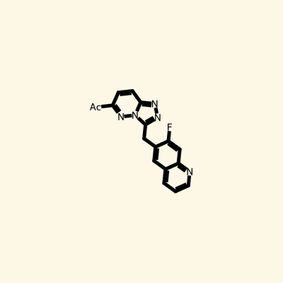 CC(=O)c1ccc2nnc(Cc3cc4cccnc4cc3F)n2n1